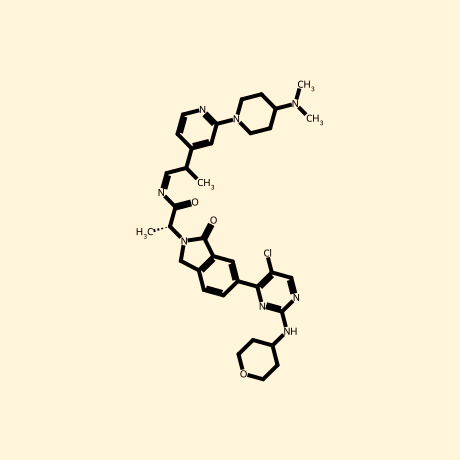 CC(/C=N\C(=O)[C@@H](C)N1Cc2ccc(-c3nc(NC4CCOCC4)ncc3Cl)cc2C1=O)c1ccnc(N2CCC(N(C)C)CC2)c1